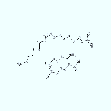 CCCCCC.CCCCCCCC/C=C\CCCCCCCC(=O)O.O=C(O)CCCCC(=O)O